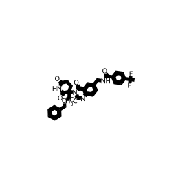 Cc1nc2ccc(CNC(=O)c3ccc(C(F)(F)F)cc3)cc2c(=O)n1C1(C(=O)OCc2ccccc2)CCC(=O)NC1=O